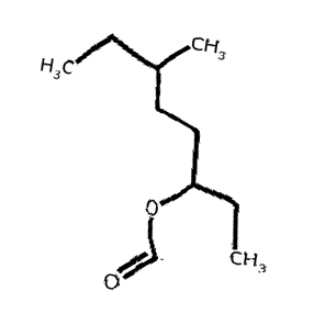 CCC(C)CCC(CC)O[C]=O